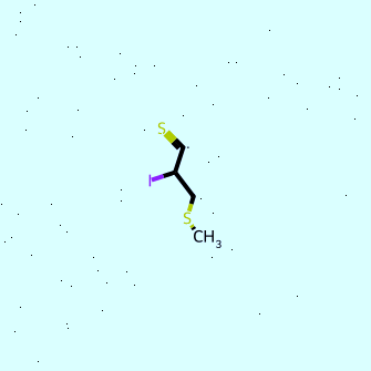 CSCC(I)[C]=S